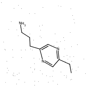 CCc1cnc(CCCN)cn1